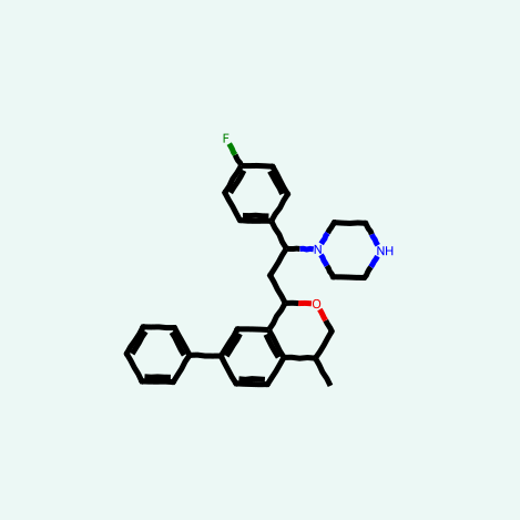 CC1COC(CC(c2ccc(F)cc2)N2CCNCC2)c2cc(-c3ccccc3)ccc21